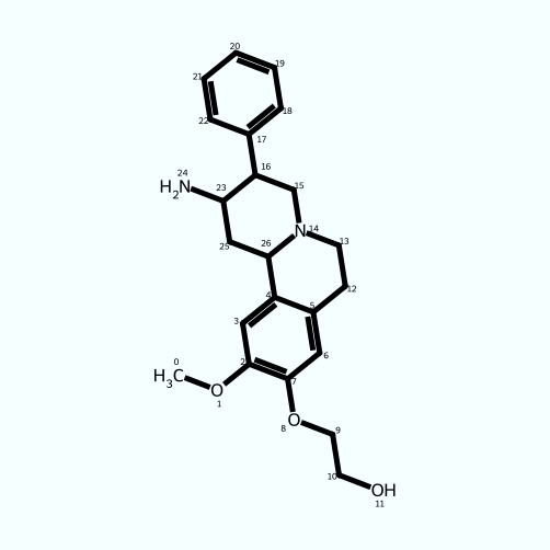 COc1cc2c(cc1OCCO)CCN1CC(c3ccccc3)C(N)CC21